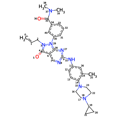 C=CCn1c(=O)c2cnc(Nc3ccc(N4CCN(C5CC5)CC4)c(C)c3)nc2n1-c1cccc(C(=O)N(C)C)c1